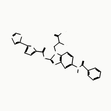 COC(=O)C(O)Cn1c(NC(=O)c2ccc(-c3cnco3)s2)nc2cc(N(C)C(=O)c3ccccc3)ccc21